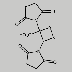 O=C1CCC(=O)N1C1SSC1(C(=O)O)N1C(=O)CCC1=O